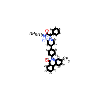 CCCCCNC(=O)C(c1ccccc1)N1CCC(c2ccc(NC(=O)c3ccccc3-c3ccc(C(F)(F)F)cc3)cc2)CC1